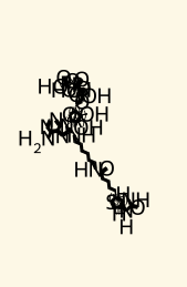 Nc1ncnc2c1nc(NCCCCCCNC(=O)CCCC[C@@H]1SC[C@@H]3NC(=O)N[C@@H]31)n2[C@@H]1O[C@H](COP(=O)(O)OP(=O)(O)OP(=O)(O)O)[C@@H](O)[C@H]1O